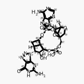 Nc1nc2c(nnn2[C@H]2[C@H](O)[C@@H]3OP(=O)(O)OC[C@@]45CO[C@@H]([C@H](n6cnc7c(N)ncnc76)O4)[C@@H]5O[P@@](=O)(S)OC[C@]34CC[C@H]24)c(=O)[nH]1